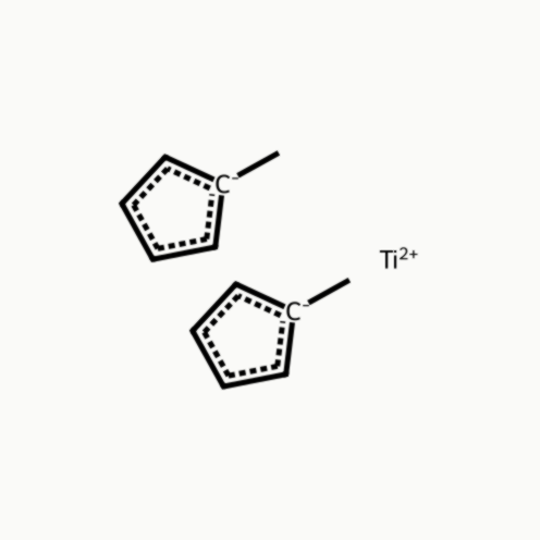 C[c-]1cccc1.C[c-]1cccc1.[Ti+2]